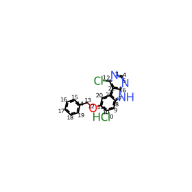 Cl.Clc1ncnc2[nH]c3ccc(OCc4ccccc4)cc3c12